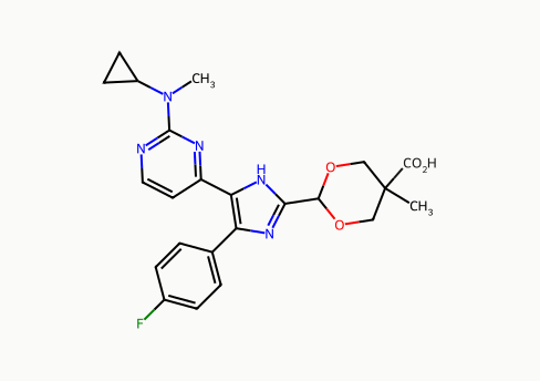 CN(c1nccc(-c2[nH]c(C3OCC(C)(C(=O)O)CO3)nc2-c2ccc(F)cc2)n1)C1CC1